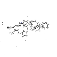 C=C(CN/C=C1\C=C2CCC3[C@H](CCC[C@]4(C)C(c5cccnc5)=CC[C@@H]34)[C@@]2(C)CC1)N(C)CCN1CCCC1